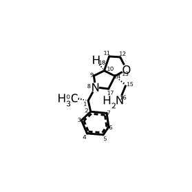 C[C@@H](c1ccccc1)N1C[C@H]2CCO[C@@]2(CN)C1